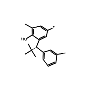 Cc1cc(F)cc([C@H](c2cccc(F)c2)C(C)(C)C)c1O